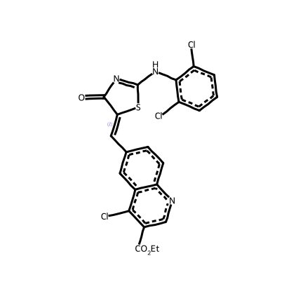 CCOC(=O)c1cnc2ccc(/C=C3\SC(Nc4c(Cl)cccc4Cl)=NC3=O)cc2c1Cl